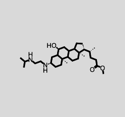 COC(=O)CC[C@@H](C)[C@H]1CCC2C3C[C@H](O)C4C[C@@H](NCCNC(C)C)CC[C@]4(C)C3CC[C@@]21C